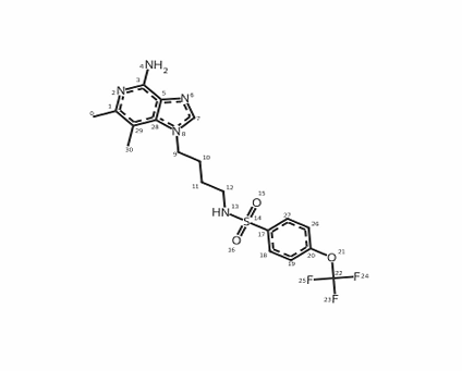 Cc1nc(N)c2ncn(CCCCNS(=O)(=O)c3ccc(OC(F)(F)F)cc3)c2c1C